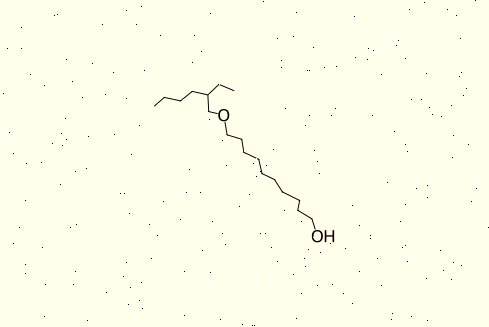 CCCCC(CC)COCCCCCCCCCCO